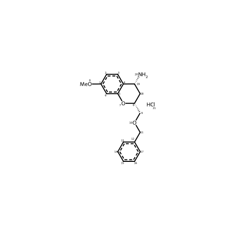 COc1ccc2c(c1)O[C@@H](COCc1ccccc1)C[C@H]2N.Cl